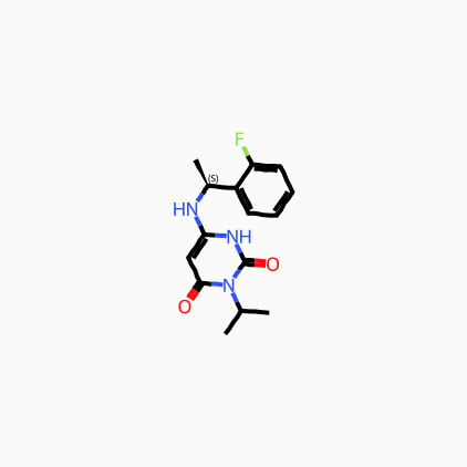 CC(C)n1c(=O)cc(N[C@@H](C)c2ccccc2F)[nH]c1=O